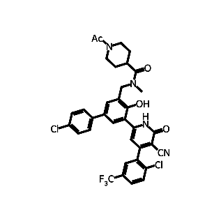 CC(=O)N1CCC(C(=O)N(C)Cc2cc(-c3ccc(Cl)cc3)cc(-c3cc(-c4cc(C(F)(F)F)ccc4Cl)c(C#N)c(=O)[nH]3)c2O)CC1